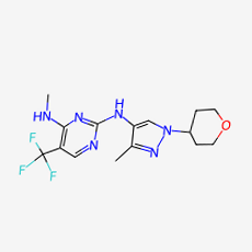 CNc1nc(Nc2cn(C3CCOCC3)nc2C)ncc1C(F)(F)F